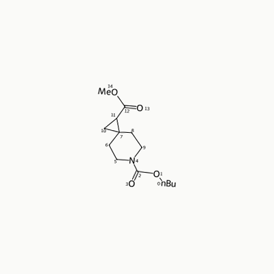 CCCCOC(=O)N1CCC2(CC1)CC2C(=O)OC